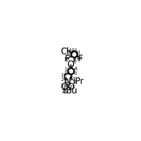 CC(C)[C@H]1c2ccc(OCc3c(F)ccc(Cl)c3F)cc2CCN1C(=O)OC(C)(C)C